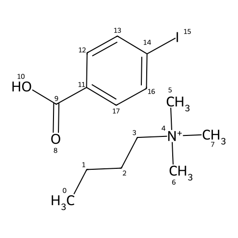 CCCC[N+](C)(C)C.O=C(O)c1ccc(I)cc1